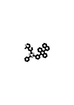 C=C/C(=C\c1cccnc1C)c1nc(-c2ccccc2)nc(-c2cccc(-c3c4ccccc4c(-c4cccc5ccccc45)c4ccccc34)c2)n1